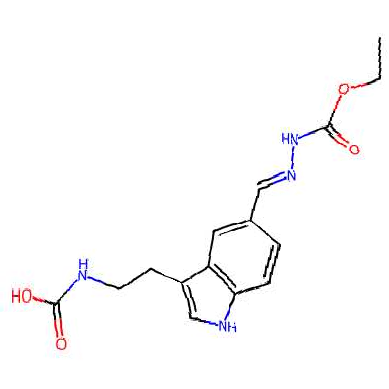 CCOC(=O)NN=Cc1ccc2[nH]cc(CCNC(=O)O)c2c1